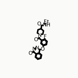 CCNC(=O)C1CCN(C(=O)c2cc(OC3N=NC(=O)c4ccccc43)ccc2F)CC1